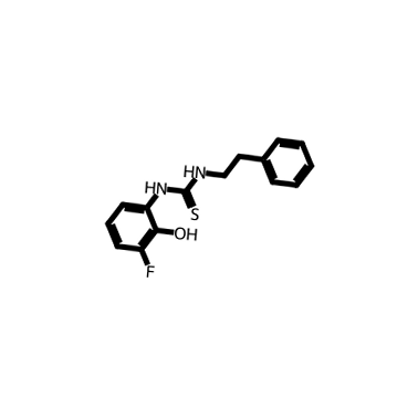 Oc1c(F)cccc1NC(=S)NCCc1ccccc1